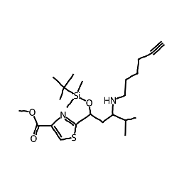 C#CCCCCNC(CC(O[Si](C)(C)C(C)(C)C)c1nc(C(=O)OC)cs1)C(C)C